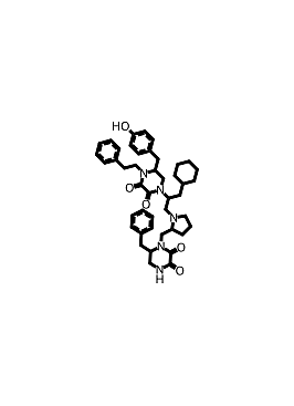 O=C1NCC(Cc2ccccc2)N(CC2CCCN2CC(CC2CCCCC2)N2CC(Cc3ccc(O)cc3)N(CCc3ccccc3)C(=O)C2=O)C1=O